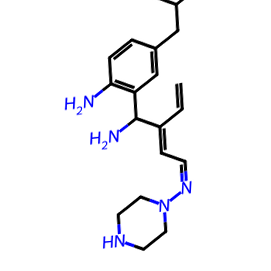 C=C/C(=C\C=N/N1CCNCC1)C(N)c1cc(CC(C)C)ccc1N